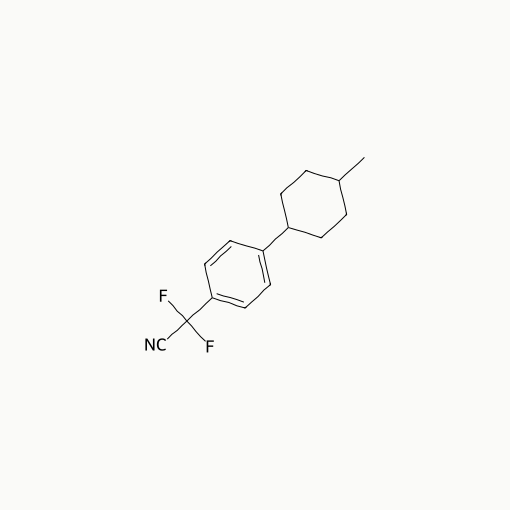 CC1CCC(c2ccc(C(F)(F)C#N)cc2)CC1